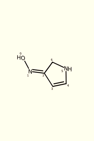 ON=C1C=CNC1